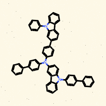 c1ccc(-c2ccc(N(c3ccc(-c4ccc5c6ccccc6n(-c6ccccc6)c5c4)cc3)c3ccc4c(c3)c3ccccc3n4-c3ccc(-c4ccccc4)cc3)cc2)cc1